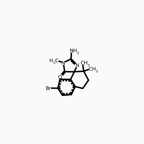 CN1C(=O)C2(N=C1N)c1cc(Br)ccc1CCC2(C)C